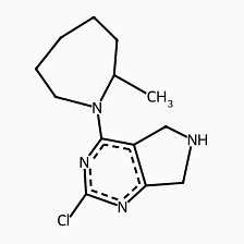 CC1CCCCCN1c1nc(Cl)nc2c1CNC2